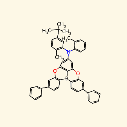 Cc1ccccc1N(c1cc2c3c(c1)Oc1cc(-c4ccccc4)ccc1B3c1ccc(-c3ccccc3)cc1O2)c1cc(C(C)(C)C)ccc1C